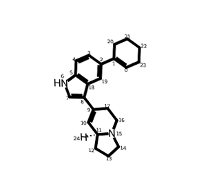 C1=C(c2ccc3[nH]cc(C4=C[C@@H]5CCCN5CC4)c3c2)CCCC1